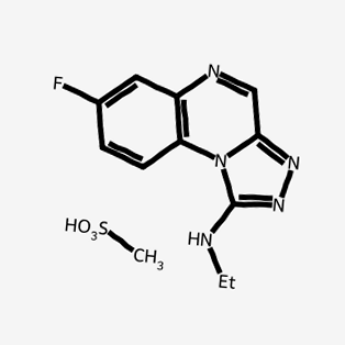 CCNc1nnc2cnc3cc(F)ccc3n12.CS(=O)(=O)O